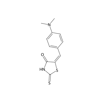 CN(C)c1ccc(/C=C2/SC(=S)NC2=O)cc1